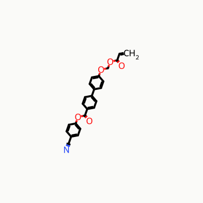 C=CC(=O)OCOc1ccc(-c2ccc(C(=O)Oc3ccc(C#N)cc3)cc2)cc1